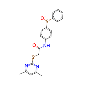 Cc1cc(C)nc(SCC(=O)Nc2ccc([S+]([O-])c3ccccc3)cc2)n1